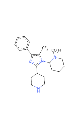 O=C(O)N1CCCCC1n1c(C2CCNCC2)nc(-c2ccccc2)c1C(F)(F)F